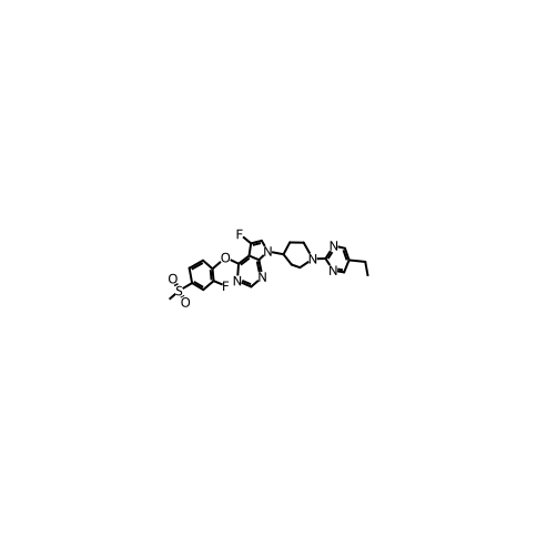 CCc1cnc(N2CCC(n3cc(F)c4c(Oc5ccc(S(C)(=O)=O)cc5F)ncnc43)CC2)nc1